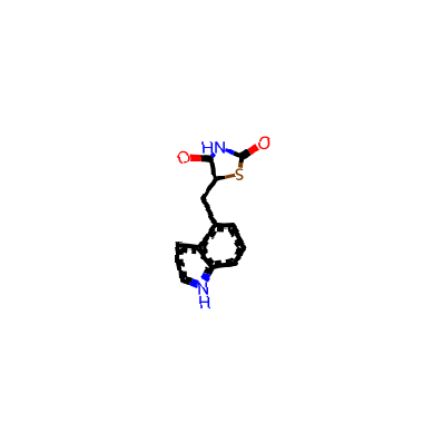 O=C1NC(=O)C(Cc2cccc3[nH]ccc23)S1